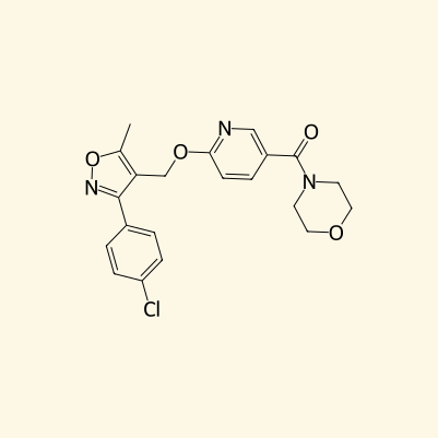 Cc1onc(-c2ccc(Cl)cc2)c1COc1ccc(C(=O)N2CCOCC2)cn1